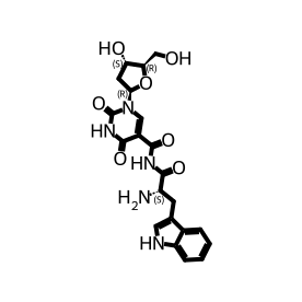 N[C@@H](Cc1c[nH]c2ccccc12)C(=O)NC(=O)c1cn([C@H]2C[C@H](O)[C@@H](CO)O2)c(=O)[nH]c1=O